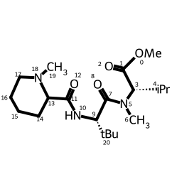 COC(=O)[C@H](C(C)C)N(C)C(=O)[C@@H](NC(=O)C1CCCCN1C)C(C)(C)C